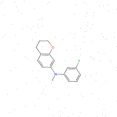 CN(c1cccc(F)c1)c1ccc2c(c1)OCCC2